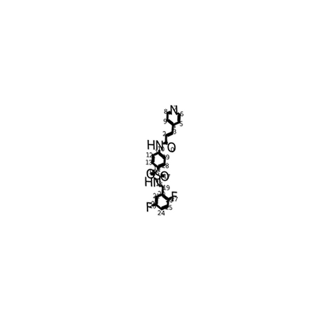 O=C(/C=C/c1ccncc1)Nc1ccc(S(=O)(=O)NCc2cc(F)ccc2F)cc1